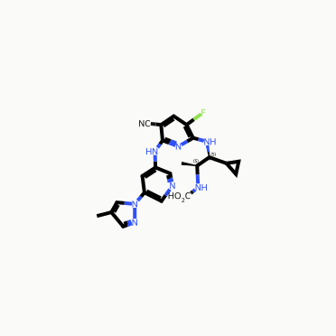 Cc1cnn(-c2cncc(Nc3nc(N[C@@H](C4CC4)[C@H](C)NC(=O)O)c(F)cc3C#N)c2)c1